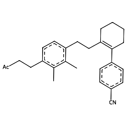 CC(=O)CCc1ccc(CCC2=C(c3ccc(C#N)cc3)CCCC2)c(C)c1C